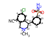 CN1Cc2c(C#N)cc(Cl)cc2C(c2cccc(S(N)(=O)=O)c2)C1